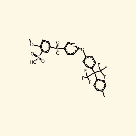 COc1ccc(S(=O)(=O)c2ccc(Oc3ccc(C(c4ccc(C)cc4)(C(F)(F)F)C(F)(F)F)cc3)cc2)cc1S(=O)(=O)O